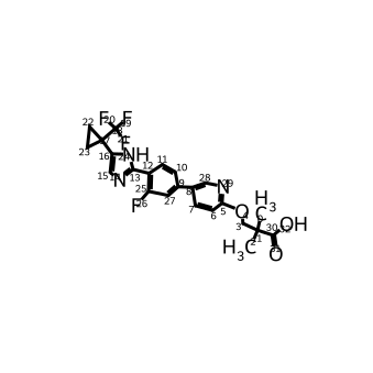 CC(C)(COc1ccc(-c2ccc(-c3ncc(C4(C(F)(F)F)CC4)[nH]3)c(F)c2)cn1)C(=O)O